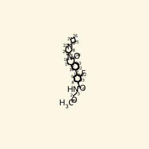 COCCNC(=O)c1ccc(-c2ccc3c(c2)CCN([C@@H]2CCN(C4CCC4)C2)C3=O)c(F)c1